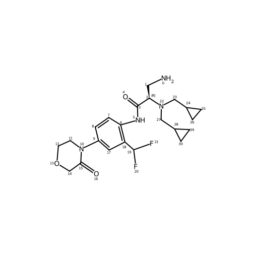 NC[C@H](C(=O)Nc1ccc(N2CCOCC2=O)cc1C(F)F)N(CC1CC1)CC1CC1